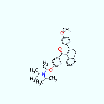 COc1ccc(C2=C(C(=O)c3ccc(OC(C)N(C(C)C)C(C)C)cc3)c3ccccc3CC2)cc1